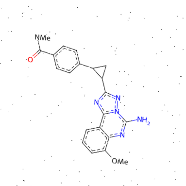 CNC(=O)c1ccc(C2CC2c2nc3c4cccc(OC)c4nc(N)n3n2)cc1